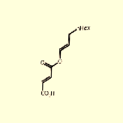 CCCCCCCC=COC(=O)/C=C/C(=O)O